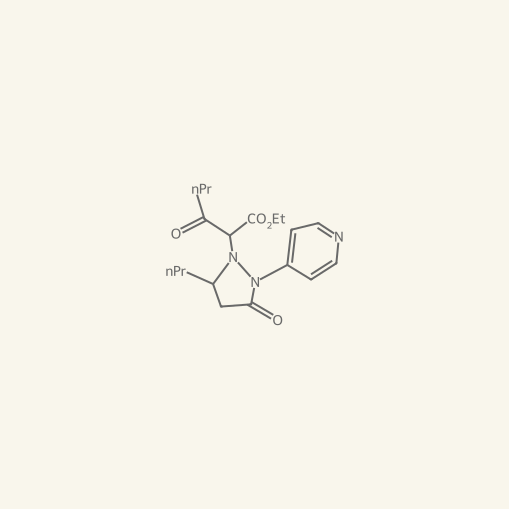 CCCC(=O)C(C(=O)OCC)N1C(CCC)CC(=O)N1c1ccncc1